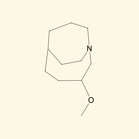 COC1CCC2CCCN(CC2)C1